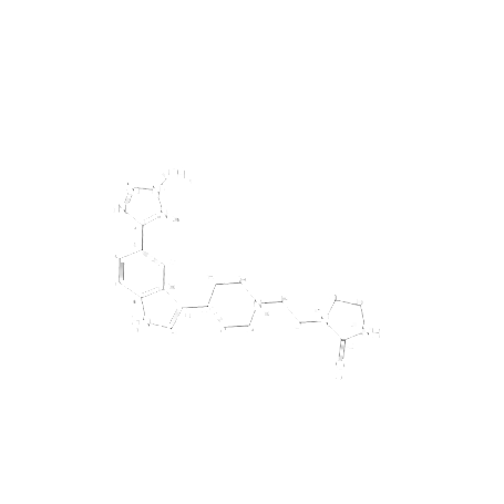 Cn1nnc(-c2ccc3[nH]cc(C4=CCN(CCN5CCNC5=O)CC4)c3c2)n1